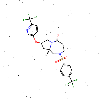 O=C1CCN(S(=O)(=O)c2ccc(C(F)(F)F)cc2)C[C@@H]2C[C@@H](Oc3ccc(C(F)(F)F)nc3)CN12